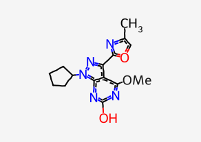 COc1nc(O)nc2c1c(-c1nc(C)co1)nn2C1CCCC1